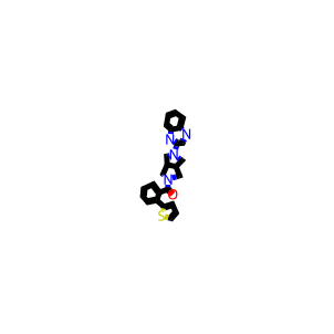 O=C(c1ccccc1-c1cccs1)N1CC2CN(c3cnc4ccccc4n3)CC2C1